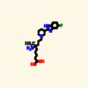 NC(CCCCB(O)O)(CCCN1CCCC(c2nc3cc(F)ccc3[nH]2)C1)C(=O)O